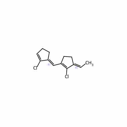 C/C=C1\CCC(/C=C2\CCC=C2Cl)=C1Cl